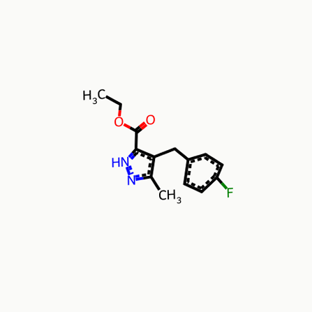 CCOC(=O)c1[nH]nc(C)c1Cc1ccc(F)cc1